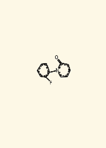 O=c1ccccn1-c1ccccc1F